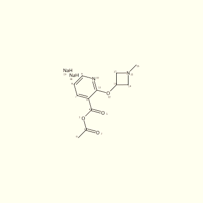 CC(=O)OC(=O)c1cccnc1OC1CN(C)C1.[NaH].[NaH]